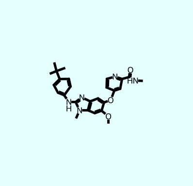 CNC(=O)c1cc(Oc2cc3nc(Nc4ccc(C(C)(C)C)cc4)n(C)c3cc2OC)ccn1